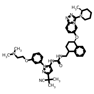 C[C@H]1CCCCN1c1nnc2ccc(O[C@@H]3CCC(CNC(=O)Nc4cc(C(C)(C)C#N)nn4-c4cccc(OCCN(C)C)c4)c4ccccc43)cn12